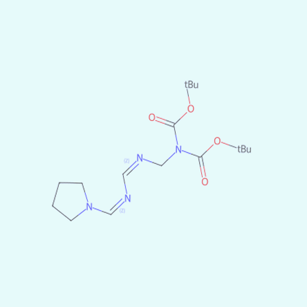 CC(C)(C)OC(=O)N(C/N=C\N=C/N1CCCC1)C(=O)OC(C)(C)C